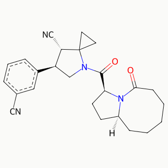 N#Cc1cccc([C@@H]2CN(C(=O)[C@@H]3CC[C@@H]4CCCCCC(=O)N43)C3(CC3)[C@H]2C#N)c1